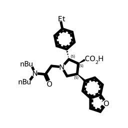 CCCCN(CCCC)C(=O)CN1C[C@H](c2ccc3occc3c2)[C@H](C(=O)O)[C@H]1c1ccc(CC)cc1